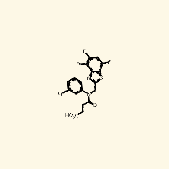 O=C(O)CCC(=O)N(Cc1nc2c(F)c(F)cc(F)c2s1)c1cccc(Cl)c1